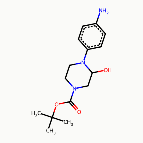 CC(C)(C)OC(=O)N1CCN(c2ccc(N)cc2)C(O)C1